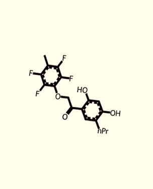 CCCc1cc(C(=O)COc2c(F)c(F)c(C)c(F)c2F)c(O)cc1O